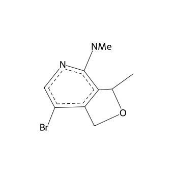 CNc1ncc(Br)c2c1C(C)OC2